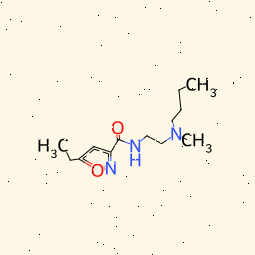 CCCCN(C)CCNC(=O)c1cc(CC)on1